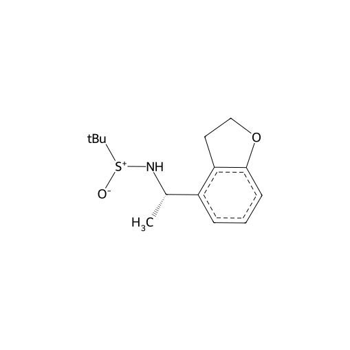 C[C@H](N[S+]([O-])C(C)(C)C)c1cccc2c1CCO2